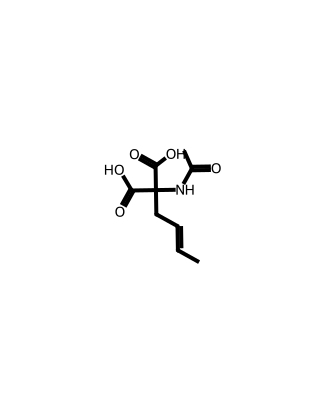 CC=CCC(NC(C)=O)(C(=O)O)C(=O)O